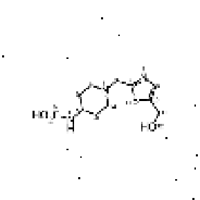 O=C(O)NC1CCN(Cc2ncc(CO)s2)CC1